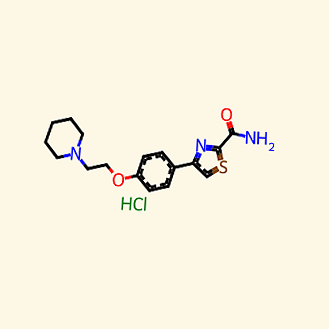 Cl.NC(=O)c1nc(-c2ccc(OCCN3CCCCC3)cc2)cs1